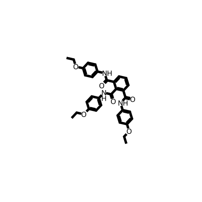 CCOc1ccc(NC(=O)c2cccc(C(=O)Nc3ccc(OCC)cc3)c2C(=O)Nc2ccc(OCC)cc2)cc1